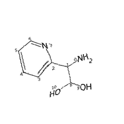 NC(c1ccccn1)C(O)O